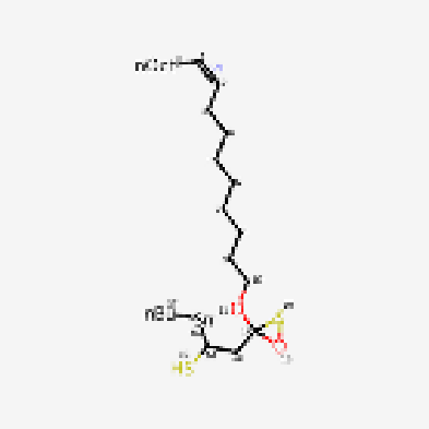 CCCCCCCC/C=C\CCCCCCCCOC1(C[CH](S)[Sn][CH2]CCC)OS1